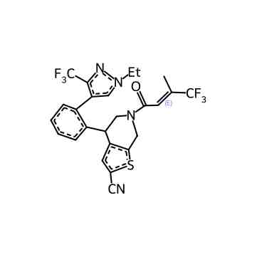 CCn1cc(-c2ccccc2C2CN(C(=O)/C=C(\C)C(F)(F)F)Cc3sc(C#N)cc32)c(C(F)(F)F)n1